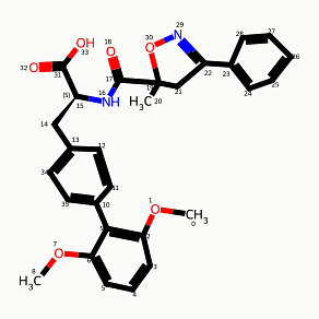 COc1cccc(OC)c1-c1ccc(C[C@H](NC(=O)C2(C)CC(c3ccccc3)=NO2)C(=O)O)cc1